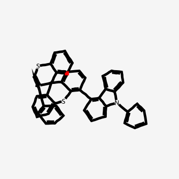 c1ccc(-c2cccc3c2C2(c4ccccc4S3)c3ccccc3Sc3c(-c4cccc5c4c4ccccc4n5-c4ccccc4)cccc32)cc1